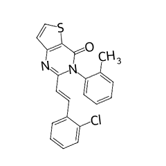 Cc1ccccc1-n1c(/C=C/c2ccccc2Cl)nc2ccsc2c1=O